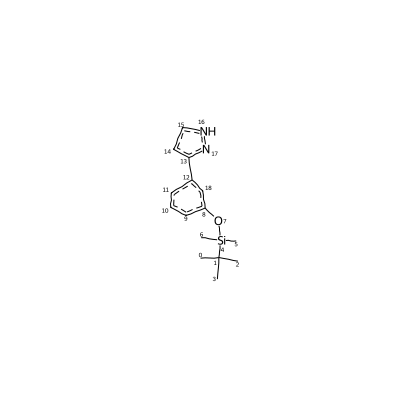 CC(C)(C)[Si](C)(C)Oc1cccc(-c2cc[nH]n2)c1